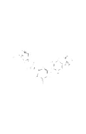 Cc1cc(NCc2cn(C)nc2C)nc(-c2ccc(S(C)(=O)=O)cc2)c1